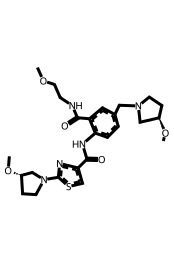 COCCNC(=O)c1cc(CN2CC[C@@H](OC)C2)ccc1NC(=O)c1csc(N2CC[C@H](OC)C2)n1